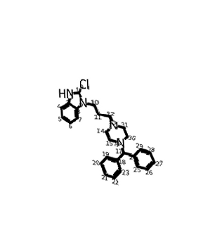 ClC1Nc2ccccc2N1CCCN1CCN(C(c2ccccc2)c2ccccc2)CC1